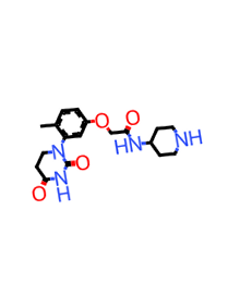 Cc1ccc(OCC(=O)NC2CCNCC2)cc1N1CCC(=O)NC1=O